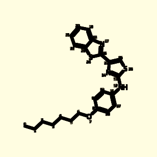 CCCCCCCOc1ccc(Nc2nc(-c3nc4ccccc4s3)cs2)cc1